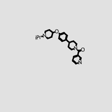 CC(C)N1CCC(Oc2ccc(C3CCN(C(=O)c4cccnc4)CC3)cc2)CC1